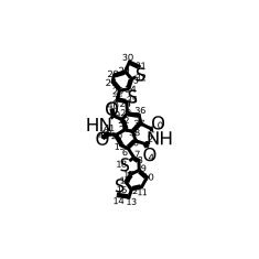 O=C1NC(=O)c2c(-c3cc4ccc5ccsc5c4s3)cc3c4c(c(-c5cc6ccc7ccsc7c6s5)cc1c24)C(=O)NC3=O